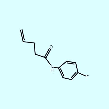 C=CCCC(=O)Nc1ccc(F)cc1